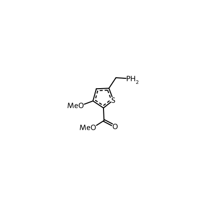 COC(=O)c1sc(CP)cc1OC